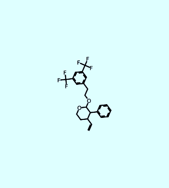 C=CC1CCOC(OCCc2cc(C(F)(F)F)cc(C(F)(F)F)c2)C1c1ccccc1